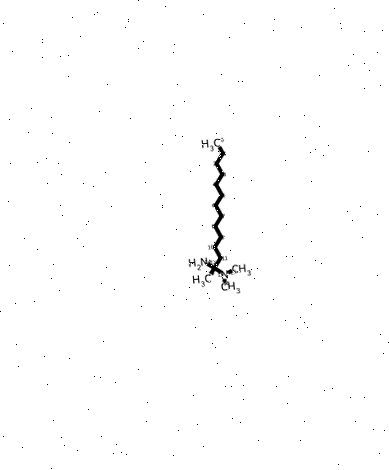 CCCCCCCCCCCCC(C)(N)N(C)C